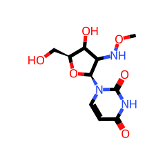 CONC1C(O)[C@H](CO)O[C@@H]1n1ccc(=O)[nH]c1=O